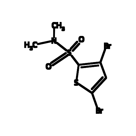 CN(C)S(=O)(=O)c1sc(Br)cc1Br